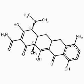 CN(C)[C@@H]1C(O)=C(C(N)=O)C(=O)[C@@]2(C)C(O)=C3C(=O)c4c(O)ccc(N)c4CC3CC12